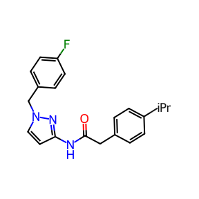 CC(C)c1ccc(CC(=O)Nc2ccn(Cc3ccc(F)cc3)n2)cc1